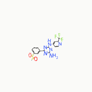 CS(=O)(=O)c1cccc(-c2nc(N)nc(Nc3ccnc(C(F)(F)F)c3)n2)c1